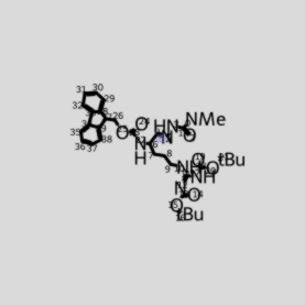 CNC(=O)N/N=C/C(CCCNC(=NC(=O)OC(C)(C)C)NC(=O)OC(C)(C)C)NC(=O)OCC1c2ccccc2-c2ccccc21